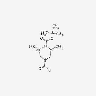 CC1CN(C(=O)Cl)C[C@H](C)N1C(=O)OC(C)(C)C